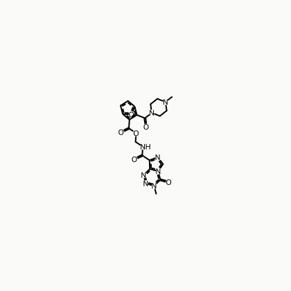 CN1CCN(C(=O)c2c(C(=O)OCNC(=O)c3ncn4c(=O)n(C)nnc34)c3ccc2o3)CC1